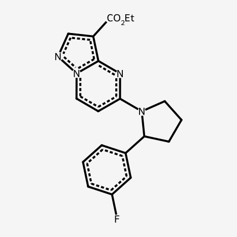 CCOC(=O)c1cnn2ccc(N3CCCC3c3cccc(F)c3)nc12